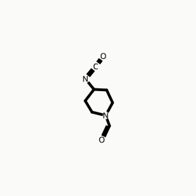 O=C=NC1CCN(C=O)CC1